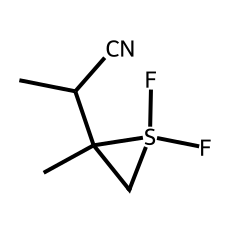 CC(C#N)C1(C)CS1(F)F